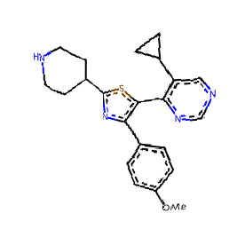 COc1ccc(-c2nc(C3CCNCC3)sc2-c2n[c]ncc2C2CC2)cc1